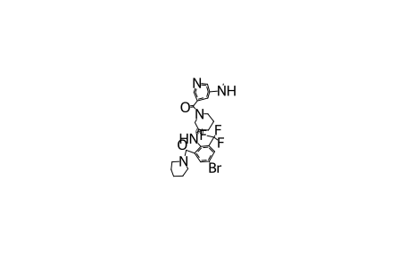 CNc1cncc(C(=O)N2CCC[C@@H](Nc3c(C(=O)N4CCCCC4)cc(Br)cc3C(F)(F)F)C2)c1